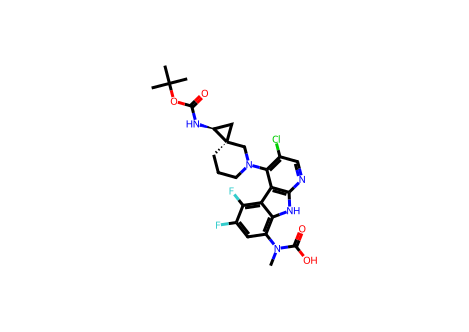 CN(C(=O)O)c1cc(F)c(F)c2c1[nH]c1ncc(Cl)c(N3CCC[C@]4(C[C@@H]4NC(=O)OC(C)(C)C)C3)c12